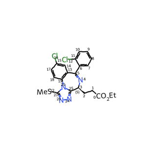 CCOC(=O)CC[C@@H]1N=C(c2ccccc2Cl)c2cc(Cl)ccc2-n2c(SC)nnc21